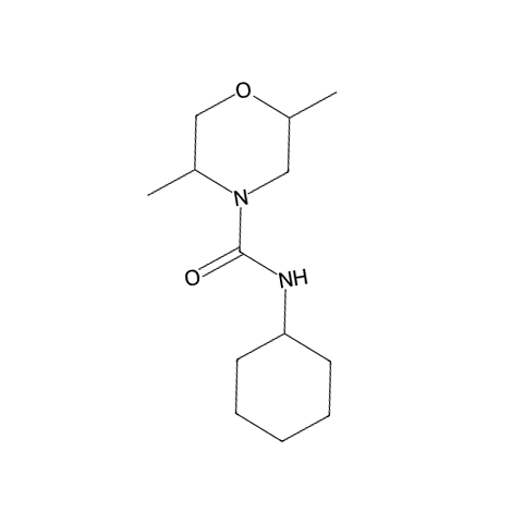 CC1CN(C(=O)NC2CCCCC2)C(C)CO1